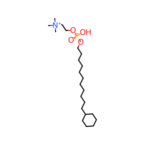 C[N+](C)(C)CCOP(=O)(O)OCCCCCCCCCCCC1CCCCC1